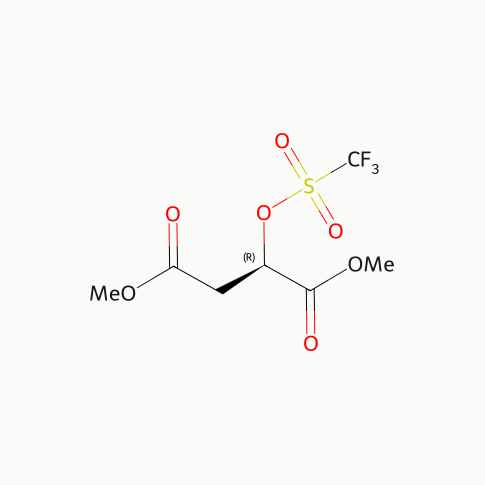 COC(=O)C[C@@H](OS(=O)(=O)C(F)(F)F)C(=O)OC